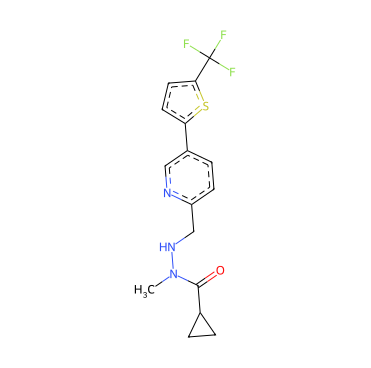 CN(NCc1ccc(-c2ccc(C(F)(F)F)s2)cn1)C(=O)C1CC1